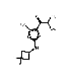 Cc1sc(NC2CC(F)(F)C2)nc1C(=O)C(C)C